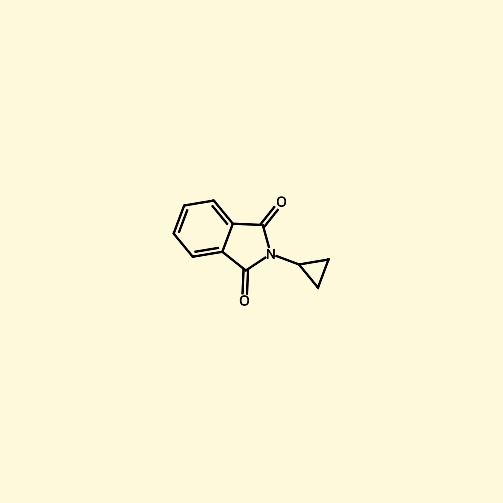 O=C1c2ccccc2C(=O)N1C1CC1